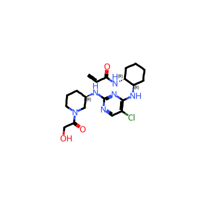 C=CC(=O)N[C@@H]1CCCC[C@H]1Nc1nc(N[C@@H]2CCCN(C(=O)CO)C2)ncc1Cl